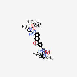 C[C@H]1CC[C@@H](c2nc3ccc4cc5c(cc4c3[nH]2)OCc2cc(-c3cnc([C@@]4(C(C)(C)C)CC[C@H](C)N4C(=O)O)[nH]3)ccc2-5)N1C(=O)OC(C)(C)C